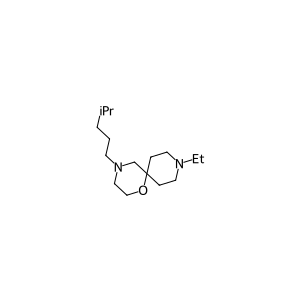 CCN1CCC2(CC1)CN(CCCC(C)C)CCO2